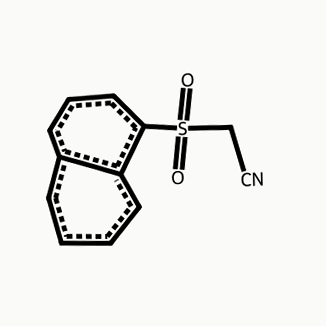 N#CCS(=O)(=O)c1cccc2ccccc12